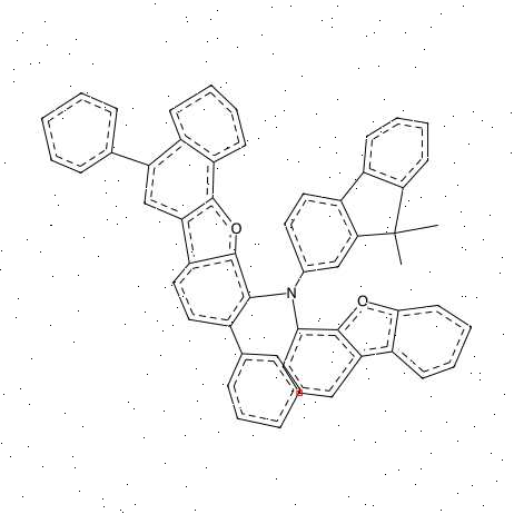 CC1(C)c2ccccc2-c2ccc(N(c3cccc4c3oc3ccccc34)c3c(-c4ccccc4)ccc4c3oc3c5ccccc5c(-c5ccccc5)cc43)cc21